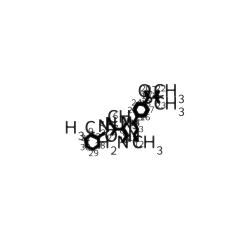 CC1=C(C2=NN(C)C(C3=C(N)N(C)CC(c4ccc([S+]([O-])C(C)C)cc4)=N3)O2)CCC=C1